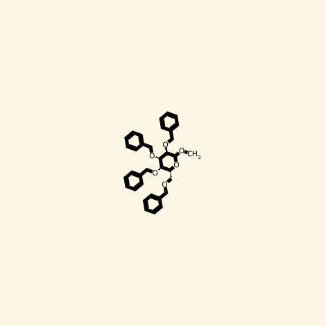 COC1O[C@H](COCc2ccccc2)[C@H](OCc2ccccc2)[C@H](OCc2ccccc2)[C@H]1OCc1ccccc1